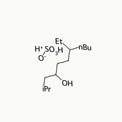 CCCCC(CC)CCC(O)CC(C)C.O=S(=O)([O-])O.[H+]